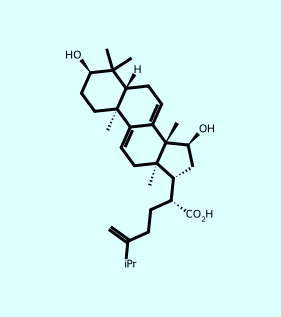 C=C(CC[C@@H](C(=O)O)[C@H]1C[C@H](O)[C@@]2(C)C3=CC[C@H]4C(C)(C)[C@H](O)CC[C@]4(C)C3=CC[C@]12C)C(C)C